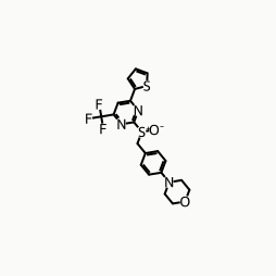 [O-][S+](Cc1ccc(N2CCOCC2)cc1)c1nc(-c2cccs2)cc(C(F)(F)F)n1